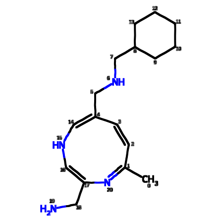 Cc1ccc(CNCC2CCCCC2)c[nH]cc(CN)n1